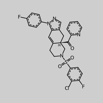 O=C(c1ccccn1)[C@]12Cc3cnn(-c4ccc(F)cc4)c3C=C1CCN(S(=O)(=O)c1ccc(F)c(Cl)c1)C2